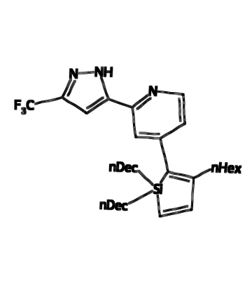 CCCCCCCCCC[Si]1(CCCCCCCCCC)C=CC(CCCCCC)=C1c1ccnc(-c2cc(C(F)(F)F)n[nH]2)c1